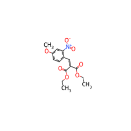 CCOC(=O)C(=Cc1ccc(OC)cc1[N+](=O)[O-])C(=O)OCC